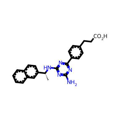 C[C@@H](Nc1nc(N)nc(-c2ccc(CCC(=O)O)cc2)n1)c1ccc2ccccc2c1